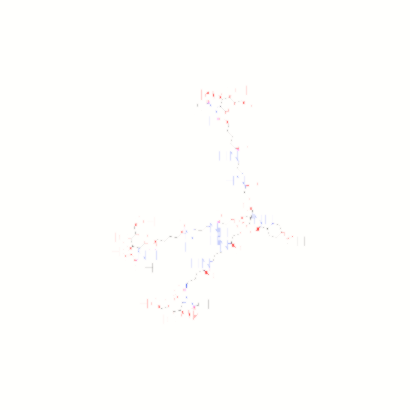 COC1CCC(C(=O)NC(COCCC(=O)NCCCNC(=O)CCCCOC2OC(CO)C(O)C(O)C2NC(C)=O)(COCCC(=O)NCCCNC(=O)CCCCOC2OC(CO)C(O)C(O)C2NC(C)=O)COCCC(=O)NCCCNC(=O)CCCCOC2OC(CO)C(O)C(O)C2NC(C)=O)CC1